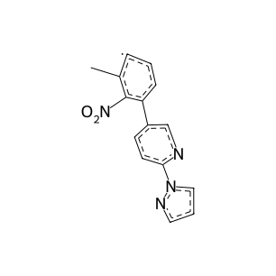 Cc1[c]ccc(-c2ccc(-n3cccn3)nc2)c1[N+](=O)[O-]